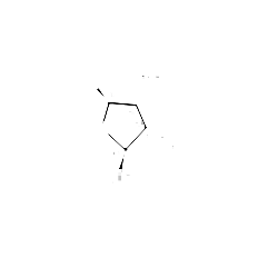 CC[C@@H]1O[C@H](C(C)C)[C@@H](F)[C@H]1O